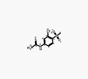 CS(=O)(=O)c1ccc(NC(N)=S)cc1C(F)(F)F